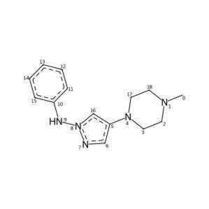 CN1CCN(c2cnn(Nc3ccccc3)c2)CC1